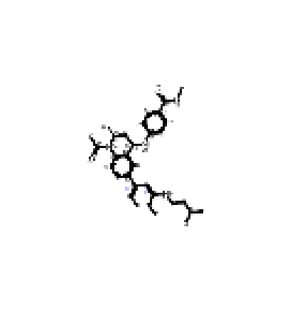 C/C=C(\C=C(/CC)NCCC(C)C)c1ccc2c(c1)[C@H](Nc1ccc(C(=O)OC)cc1)C[C@H](C)N2C(C)=O